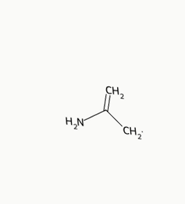 [CH2]C(=C)N